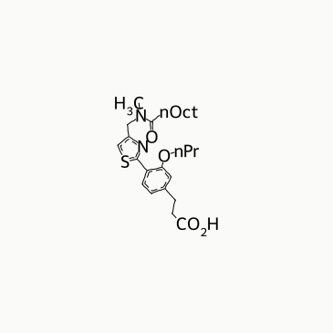 CCCCCCCCC(=O)N(C)Cc1csc(-c2ccc(CCC(=O)O)cc2OCCC)n1